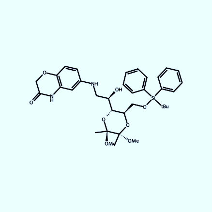 CO[C@@]1(C)O[C@H]([C@H](O)CNc2ccc3c(c2)NC(=O)CO3)[C@@H](CO[Si](c2ccccc2)(c2ccccc2)C(C)(C)C)O[C@]1(C)OC